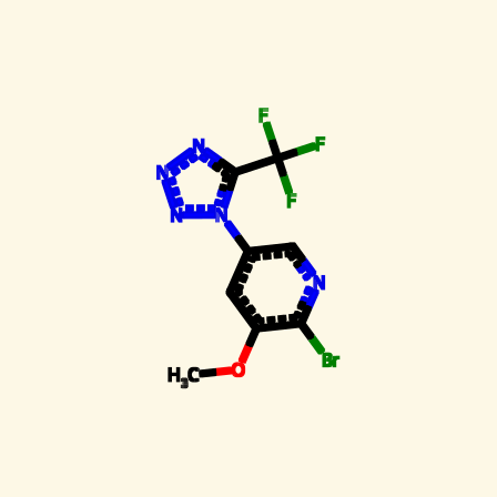 COc1cc(-n2nnnc2C(F)(F)F)cnc1Br